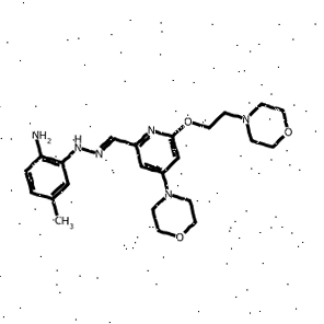 Cc1ccc(N)c(NN=Cc2cc(N3CCOCC3)cc(OCCN3CCOCC3)n2)c1